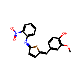 COc1cc(C=C2C=CC(=Nc3ccccc3[N+](=O)[O-])S2)ccc1O